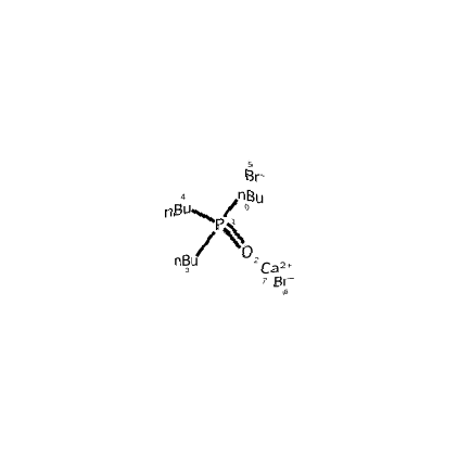 CCCCP(=O)(CCCC)CCCC.[Br-].[Br-].[Ca+2]